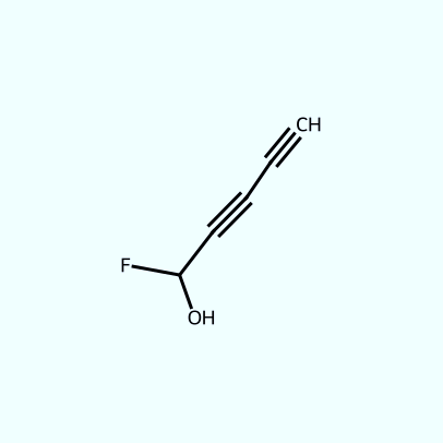 C#CC#CC(O)F